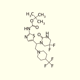 CC(C)(C)OC(=O)Nc1ncc(C(CN2CCC(C(F)(F)F)CC2)N2CC(F)(F)CNC2=O)s1